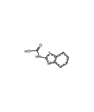 O=C(O)Nc1nc2ccccc2s1